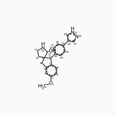 COc1ccc2c(c1)CC1(CCNC1O)C2c1ccc(-c2cn[nH]c2)cc1